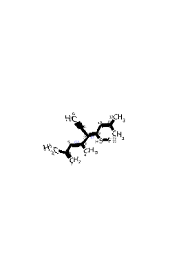 C#CC(/C(C)=C/C(=C)C)=C(\C=C(C)C)SF